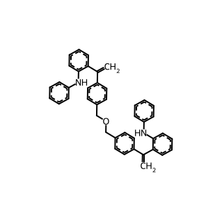 C=C(c1ccc(COCc2ccc(C(=C)c3ccccc3Nc3ccccc3)cc2)cc1)c1ccccc1Nc1ccccc1